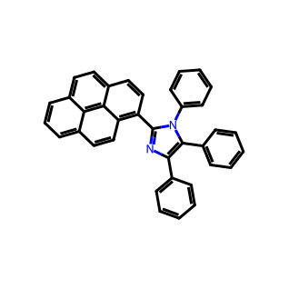 c1ccc(-c2nc(-c3ccc4ccc5cccc6ccc3c4c56)n(-c3ccccc3)c2-c2ccccc2)cc1